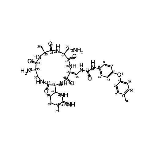 Cc1ccc(Oc2ccc(NC(=O)N/C=C3\NC(=O)[C@H](CN)NC(=O)[C@H](C)NC(=O)C(N)CNC(=O)[C@H](C4CCNC(=N)N4)NC3=O)cc2)cc1